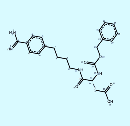 N=C(N)c1ccc(CCCCNC(=O)[C@@H](CC(=O)O)NC(=O)OCc2ccccc2)cc1